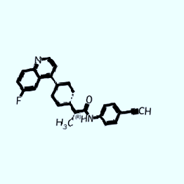 C#Cc1ccc(NC(=O)[C@H](C)[C@H]2CC[C@H](c3ccnc4ccc(F)cc43)CC2)cc1